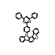 c1ccc(-c2cc(-c3ccccc3)nc(-c3ccc(-n4c5ccccc5c5ccc6oc7ccccc7c6c54)cc3)n2)cc1